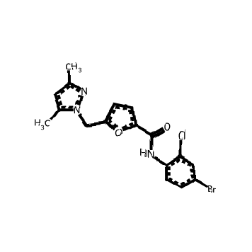 Cc1cc(C)n(Cc2ccc(C(=O)Nc3ccc(Br)cc3Cl)o2)n1